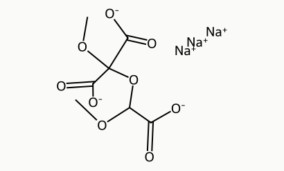 COC(OC(OC)(C(=O)[O-])C(=O)[O-])C(=O)[O-].[Na+].[Na+].[Na+]